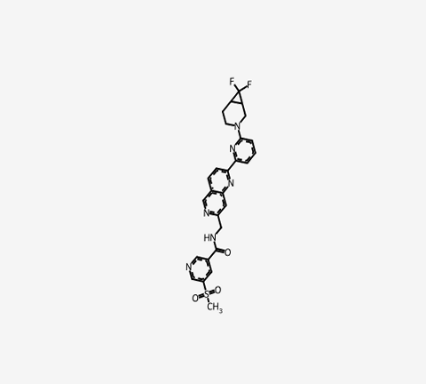 CS(=O)(=O)c1cncc(C(=O)NCc2cc3nc(-c4cccc(N5CCC6C(C5)C6(F)F)n4)ccc3cn2)c1